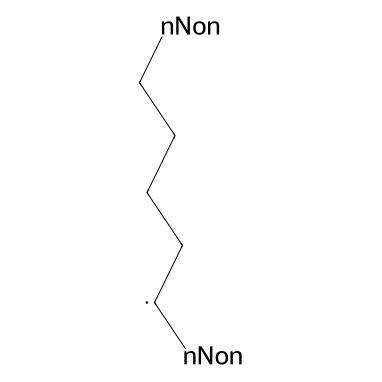 CCCCCCCCC[CH]CCCCCCCCCCCCC